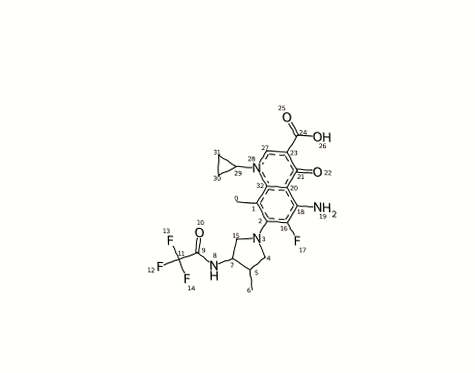 Cc1c(N2CC(C)C(NC(=O)C(F)(F)F)C2)c(F)c(N)c2c(=O)c(C(=O)O)cn(C3CC3)c12